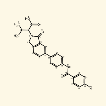 CC(C)C(C(=O)O)N1Cc2ccc(-c3ccc(NC(=O)c4ccc(Cl)nc4)cc3)cc2C1=O